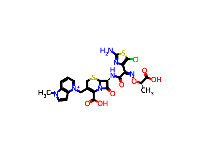 C[C@H](O/N=C(\C(=O)N[C@@H]1C(=O)N2C(C(=O)O)=C(C[n+]3cccc4c3ccn4C)CSC12)c1nc(N)sc1Cl)C(=O)O